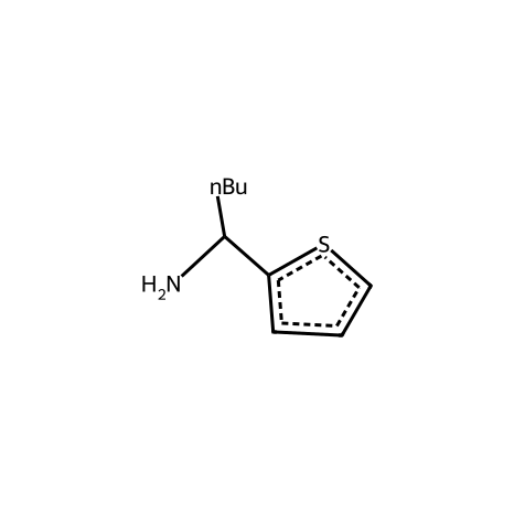 CCCCC(N)c1cccs1